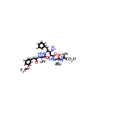 CC[C@H](C)[C@H](NC(=O)CC(N)C(Cc1ccccc1)NC(=O)[C@@H](NC(=O)Cc1cccc(OC(F)(F)F)c1)C(C)C)C(=O)N[C@H](C(=O)O)C(C)C